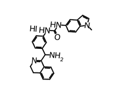 Cn1ccc2cc(NC(=O)Nc3cccc(C(N)C4=NCCc5ccccc54)c3)ccc21.I